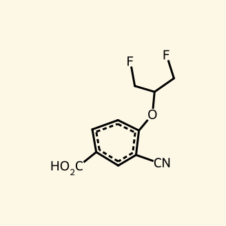 N#Cc1cc(C(=O)O)ccc1OC(CF)CF